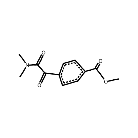 COC(=O)c1ccc(C(=O)C(=O)N(C)C)cc1